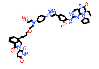 CC[C@@H]1C(=O)N(C)c2cnc(Nc3ccc(-c4cn([C@H]5CC[C@@H](N(CCO)CCOCCC#Cc6cccc7c6CN(C6CCC(=O)NC6=O)C7=O)CC5)nn4)cc3OC)nc2N1C1CCCC1